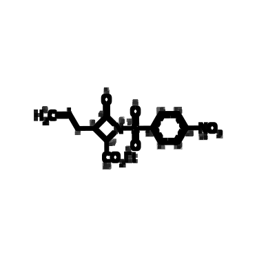 C=CCC1C(=O)N(S(=O)(=O)c2ccc([N+](=O)[O-])cc2)C1C(=O)OCC